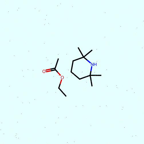 CC1(C)CCCC(C)(C)N1.CCOC(C)=O